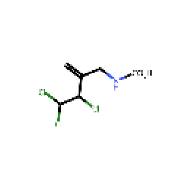 C=C(CNC(=O)O)C(Cl)C(Cl)Cl